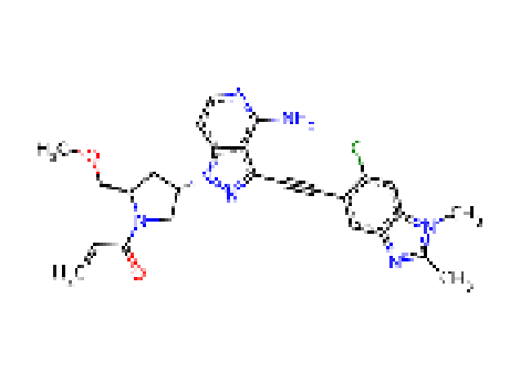 C=CC(=O)N1C[C@@H](n2nc(C#Cc3cc4nc(C)n(C)c4cc3Cl)c3c(N)nccc32)C[C@@H]1COC